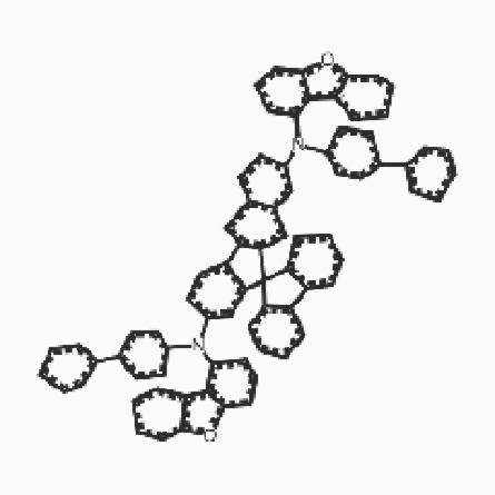 c1ccc(-c2ccc(N(c3ccc4c(c3)C3(c5ccccc5-c5ccccc53)c3cc5cc(N(c6ccc(-c7ccccc7)cc6)c6cccc7oc8ccccc8c67)ccc5cc3-4)c3cccc4oc5ccccc5c34)cc2)cc1